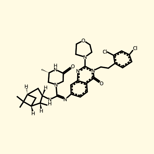 C[C@H]1[C@@H](NC(=Nc2ccc3c(=O)n(CCc4ccc(Cl)cc4Cl)c(N4CCOCC4)nc3c2)N2CC(=O)N[C@@H](C)C2)C[C@H]2C[C@H]1C2(C)C